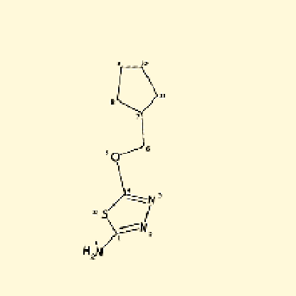 Nc1nnc(OCC2CCCC2)s1